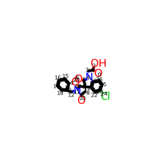 O=C(O)CN1C(=O)[C@]2(CC(=O)N(Cc3ccccc3)C2=O)c2cc(Cl)ccc21